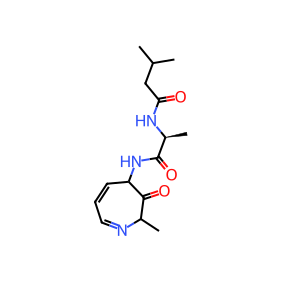 CC(C)CC(=O)N[C@@H](C)C(=O)NC1C=CC=NC(C)C1=O